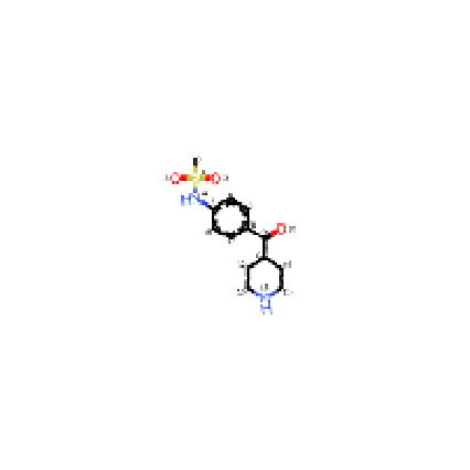 CS(=O)(=O)Nc1ccc(C(=O)C2CCNCC2)cc1